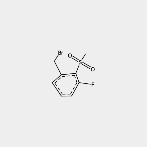 CS(=O)(=O)c1c(F)cccc1CBr